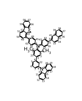 Cc1cc(-c2cccc(-n3c4ccccc4c4ccccc43)c2)cc(C)c1N(c1ccc(-c2ccc3ccccc3c2)cc1)c1ccc(-c2cccc3c2sc2ccccc23)cc1